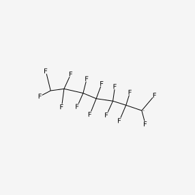 F[C](F)C(F)(F)C(F)(F)C(F)(F)C(F)(F)C(F)(F)C(F)F